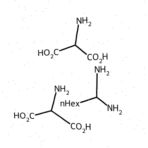 CCCCCCC(N)N.NC(C(=O)O)C(=O)O.NC(C(=O)O)C(=O)O